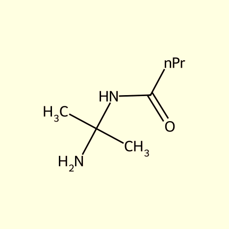 CCCC(=O)NC(C)(C)N